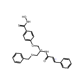 O=C(/C=C/c1ccccc1)N[C@H](COc1ccc(C(=S)NO)cc1)CSCc1ccccc1